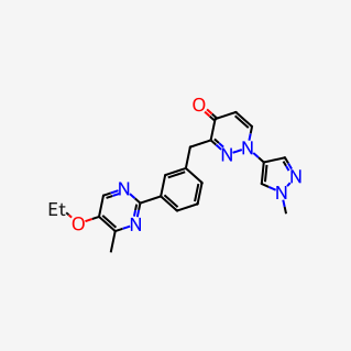 CCOc1cnc(-c2cccc(Cc3nn(-c4cnn(C)c4)ccc3=O)c2)nc1C